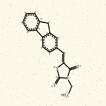 O=C(O)CN1C(=O)C(=Cc2ccc3c(c2)Cc2ccccc2-3)SC1=S